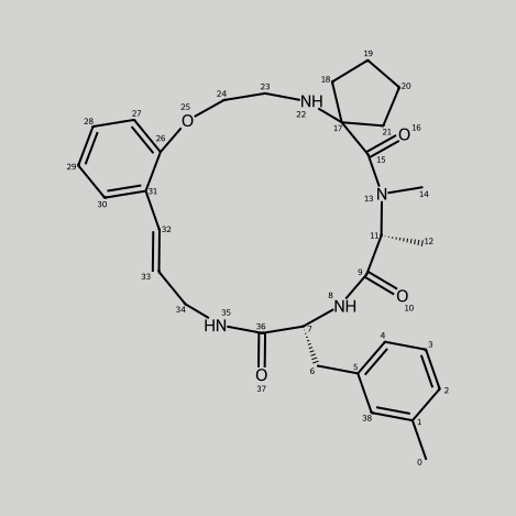 Cc1cccc(C[C@H]2NC(=O)[C@@H](C)N(C)C(=O)C3(CCCC3)NCCOc3ccccc3/C=C/CNC2=O)c1